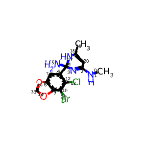 CNC1=NC(N)(c2cc3c(c(Br)c2Cl)OCO3)NC(C)=C1